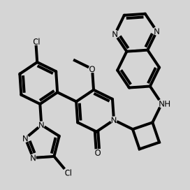 COc1cn(C2CCC2Nc2ccc3nccnc3c2)c(=O)cc1-c1cc(Cl)ccc1-n1cc(Cl)nn1